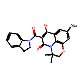 COc1cc2c3c(c1)c(O)c(C(=O)N1CCc4ccccc41)c(=O)n3C(C)(C)CO2